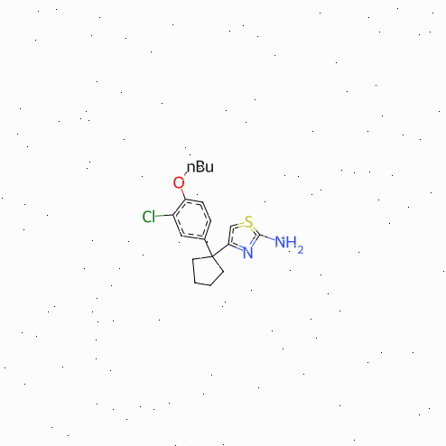 CCCCOc1ccc(C2(c3csc(N)n3)CCCC2)cc1Cl